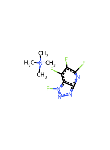 C[N+](C)(C)C.Fc1nc2nnn(F)c2c(F)c1F